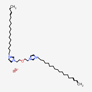 C=CC=CCCCCCCCCCCCCCC[n+]1ccn(CCOCCn2cc[n+](CCCCCCCCCCCCCCC=CC=C)c2)c1.[Br-].[Br-]